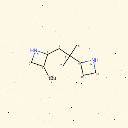 CC(C)(C)C1CNC1CC(C)(C)C1CCN1